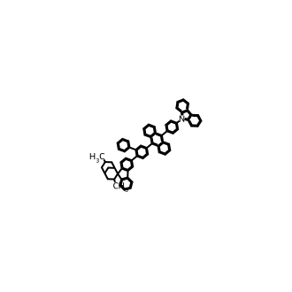 CC1CC2CC(C)C3(c4ccccc4-c4cc(-c5ccc(-c6c7ccccc7c(-c7ccc(-n8c9ccccc9c9ccccc98)cc7)c7ccccc67)cc5-c5ccccc5)ccc43)C(C1)C2